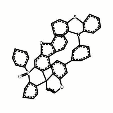 O=P1(c2ccccc2)c2ccccc2C2(c3ccccc3Oc3cc(-c4cccc(N5c6ccccc6Sc6ccccc65)c4)ccc32)c2cc3c(cc21)oc1ccccc13